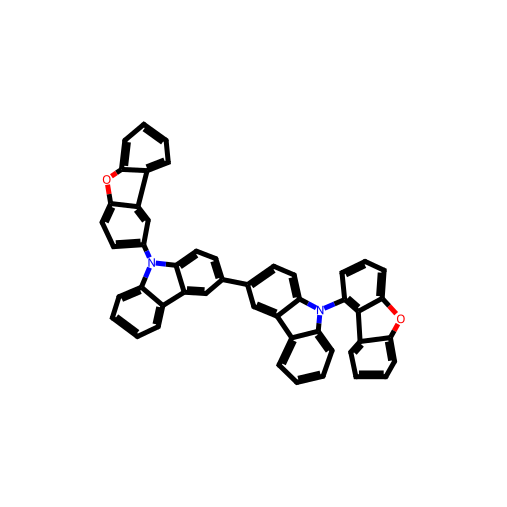 c1ccc2c(c1)oc1ccc(-n3c4ccccc4c4cc(-c5ccc6c(c5)c5ccccc5n6-c5cccc6oc7ccccc7c56)ccc43)cc12